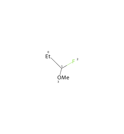 [CH2]CC(F)OC